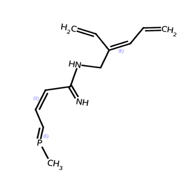 C=C/C=C(\C=C)CNC(=N)/C=C\C=P\C